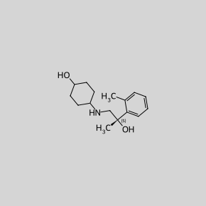 Cc1ccccc1[C@](C)(O)CNC1CCC(O)CC1